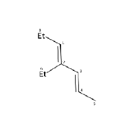 [CH2]C/C=C(/C=C/C)CC